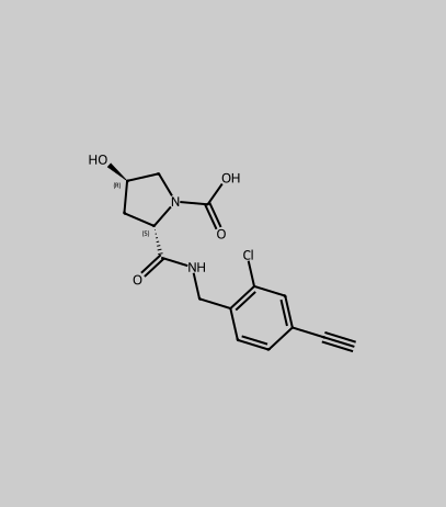 C#Cc1ccc(CNC(=O)[C@@H]2C[C@@H](O)CN2C(=O)O)c(Cl)c1